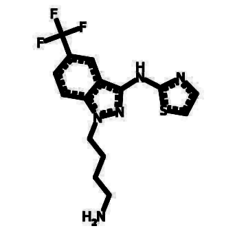 NCCCCn1nc(Nc2nccs2)c2cc(C(F)(F)F)ccc21